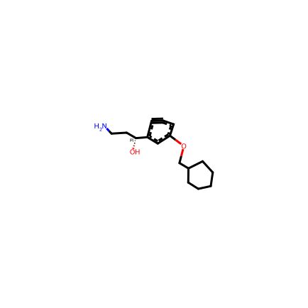 NCC[C@@H](O)c1c#ccc(OCC2CCCCC2)c1